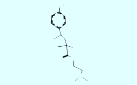 CCC(CC(C)(C)C(=O)OCCN(C)C)c1ccc(C(C)(C)C)cc1